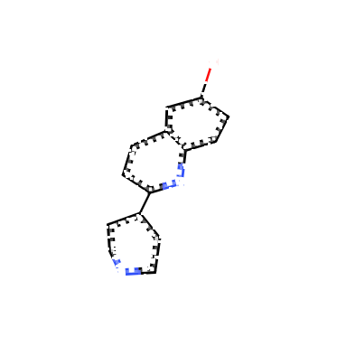 Oc1ccc2nc(-c3ccncc3)ccc2c1